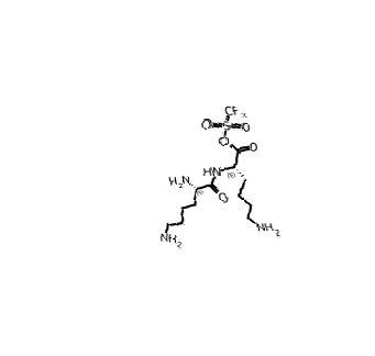 NCCCC[C@H](NC(=O)[C@@H](N)CCCCN)C(=O)OS(=O)(=O)C(F)(F)F